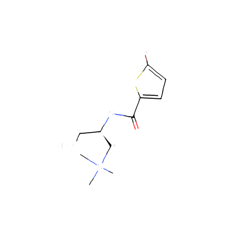 C[N+](C)(C)C[C@@H](CC(=O)O)NC(=O)c1ccc(Br)s1